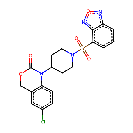 O=C1OCc2cc(Cl)ccc2N1C1CCN(S(=O)(=O)c2cccc3nonc23)CC1